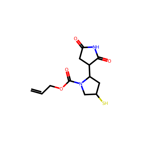 C=CCOC(=O)N1CC(S)CC1C1CC(=O)NC1=O